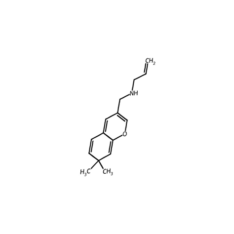 C=CCNCC1=COC2=CC(C)(C)C=CC2=C1